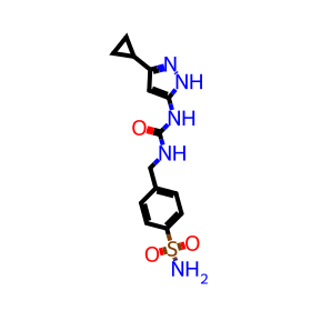 NS(=O)(=O)c1ccc(CNC(=O)Nc2cc(C3CC3)n[nH]2)cc1